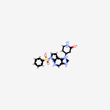 O=C1CC(n2cnc3cnc4c(ccn4S(=O)(=O)c4ccccc4)c32)CCN1